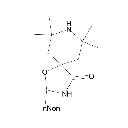 CCCCCCCCCC1(C)NC(=O)C2(CC(C)(C)NC(C)(C)C2)O1